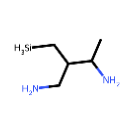 CC(N)C(CN)C[SiH3]